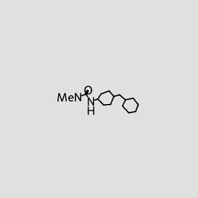 CNC(=O)NC1CCC(CC2CCCCC2)CC1